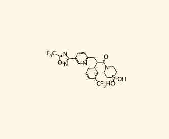 O=C(C(Cc1ccc(-c2noc(C(F)(F)F)n2)cn1)c1cccc(C(F)(F)F)c1)N1CCS(O)(O)CC1